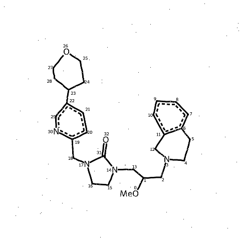 COC(CN1CCc2ccccc2C1)CN1CCN(Cc2ccc(C3CCOCC3)cn2)C1=O